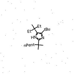 CCCCCC(C)(C)c1nc(C(C)(C)C)c(C(C)(CC)CC)[nH]1